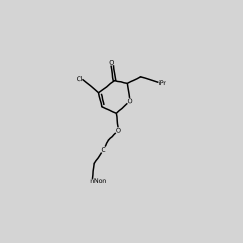 CCCCCCCCCCCCOC1C=C(Cl)C(=O)C(CC(C)C)O1